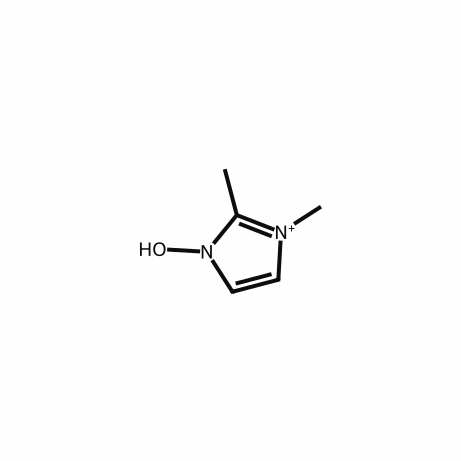 Cc1n(O)cc[n+]1C